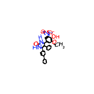 CCOc1cc(C2NC(=O)NC(c3ccc(-c4ccccc4)cc3)=C2c2ccccc2)cc([N+](=O)[O-])c1O